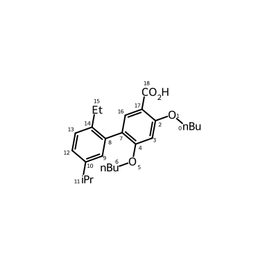 CCCCOc1cc(OCCCC)c(-c2cc(C(C)C)ccc2CC)cc1C(=O)O